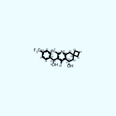 CC(C)c1nc2c(c(I)c1[C@@H](O)c1ccc(C(F)(F)F)cc1)[C@@H](O)CC1(CCC1)C2